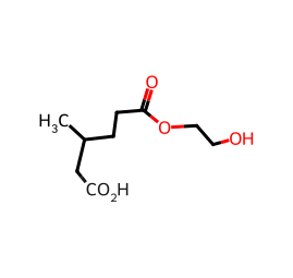 CC(CCC(=O)OCCO)CC(=O)O